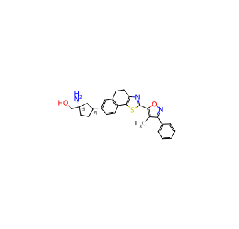 N[C@@]1(CO)CC[C@@H](c2ccc3c(c2)CCc2nc(-c4onc(-c5ccccc5)c4C(F)(F)F)sc2-3)C1